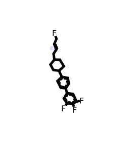 FC/C=C/CC1CCC(c2ccc(-c3cc(F)c(F)c(F)c3)cc2)CC1